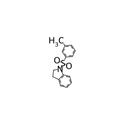 Cc1cccc(S(=O)(=O)N2CCc3ccccc32)c1